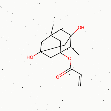 C=CC(=O)OC12CC3(C)CC(O)(CC(O)(C3)C1C)C2